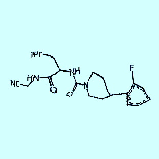 CC(C)CC(NC(=O)N1CCC(c2ccccc2F)CC1)C(=O)NCC#N